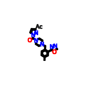 CC(=O)c1ccn(C(=O)N2CCN(Cc3ccc(C)cc3-c3nnco3)CC2)n1